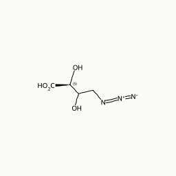 [N-]=[N+]=NCC(O)[C@H](O)C(=O)O